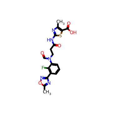 Cc1nc(-c2cccc(N(C=O)CCC(=O)Nc3nc(C)c(C(=O)O)s3)c2F)no1